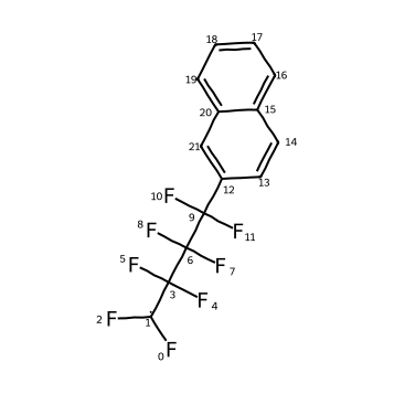 F[C](F)C(F)(F)C(F)(F)C(F)(F)c1ccc2ccccc2c1